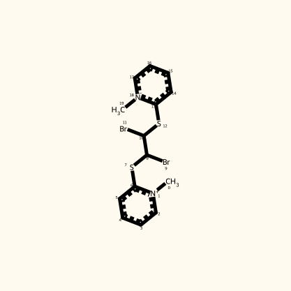 C[n+]1ccccc1SC(Br)C(Br)Sc1cccc[n+]1C